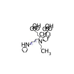 CCCC[N+]1=C(/C=C/C=C/Nc2ccccc2)C(C)(CCCS(=O)(=O)O)c2c1ccc1ccc(S(=O)(=O)O)cc21